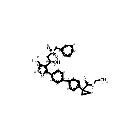 CCOC(=O)C1(c2ccc(-c3ccc(-c4onc(C)c4[C@H](O)CS(=O)(=O)Cc4ccccc4)cc3)cc2)CC1